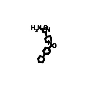 Nc1cc(C2CCN(C(=O)c3ccc(C4CCCCC4)cc3)CC2)no1